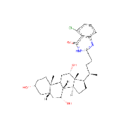 C[C@H](CCc1nc2cccc(Cl)c2c(=O)[nH]1)[C@H]1CC[C@H]2[C@H]3C(C[C@H](O)[C@]12C)[C@@]1(C)CC[C@@H](O)C[C@H]1C[C@H]3O